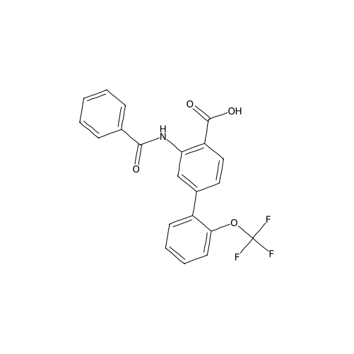 O=C(Nc1cc(-c2ccccc2OC(F)(F)F)ccc1C(=O)O)c1ccccc1